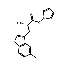 Cc1ccc2[nH]cc(C[C@H](N)C(=O)On3cccc3)c2c1